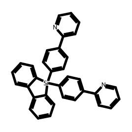 c1ccc(-c2ccc([Si]3(c4ccc(-c5ccccn5)cc4)c4ccccc4-c4ccccc43)cc2)nc1